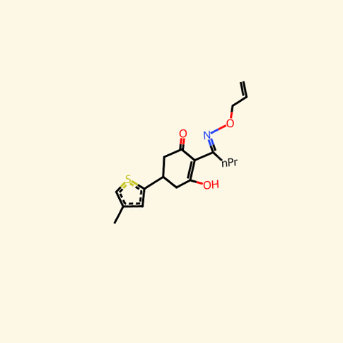 C=CCON=C(CCC)C1=C(O)CC(c2cc(C)cs2)CC1=O